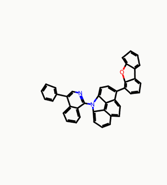 c1ccc(-c2cnc(-n3c4cccc5ccc6c(-c7cccc8c7oc7ccccc78)ccc3c6c54)c3ccccc23)cc1